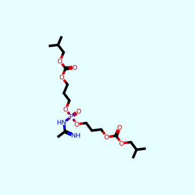 CC(=N)NP(=O)(OCCCOC(=O)OCC(C)C)OCCCOC(=O)OCC(C)C